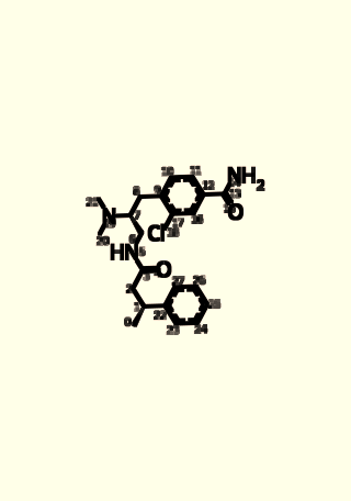 C[C@@H](CC(=O)NC[C@H](Cc1ccc(C(N)=O)cc1Cl)N(C)C)c1ccccc1